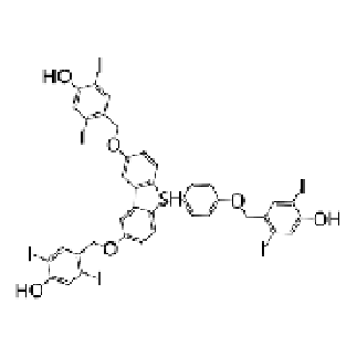 Oc1cc(I)c(COc2ccc([SH]3c4ccc(OCc5cc(I)c(O)cc5I)cc4-c4cc(OCc5cc(I)c(O)cc5I)ccc43)cc2)cc1I